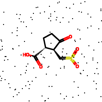 O=C1CC[C@@H](C(=O)O)[C@@H]1C=S(=O)=O